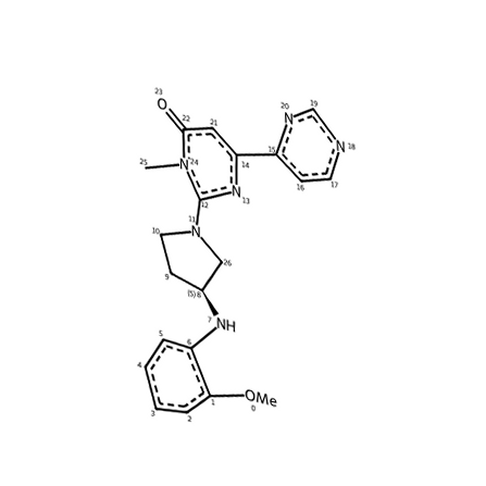 COc1ccccc1N[C@H]1CCN(c2nc(-c3ccncn3)cc(=O)n2C)C1